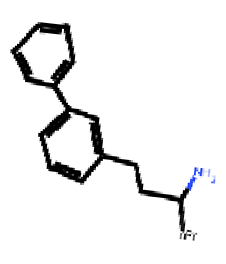 CCCC(N)CCc1cccc(-c2ccccc2)c1